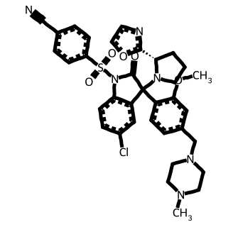 COc1cc(CN2CCN(C)CC2)ccc1C1(N2CCC[C@H]2c2ncco2)C(=O)N(S(=O)(=O)c2ccc(C#N)cc2)c2ccc(Cl)cc21